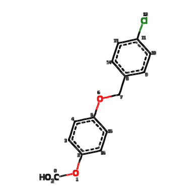 O=C(O)Oc1ccc(OCc2ccc(Cl)cc2)cc1